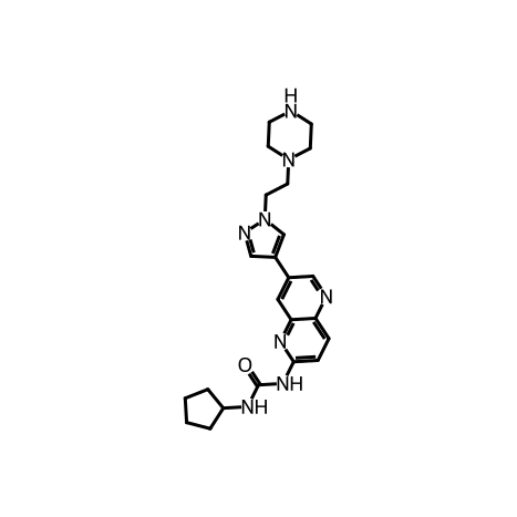 O=C(Nc1ccc2ncc(-c3cnn(CCN4CCNCC4)c3)cc2n1)NC1CCCC1